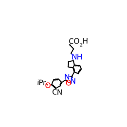 CC(C)Oc1ccc(-c2nc(-c3cccc4c3CC[C@H]4NCCCC(=O)O)no2)cc1C#N